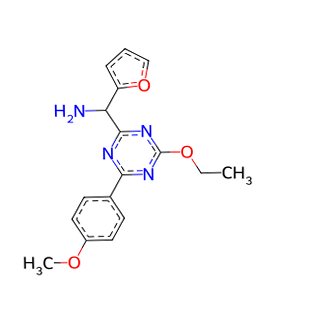 CCOc1nc(-c2ccc(OC)cc2)nc(C(N)c2ccco2)n1